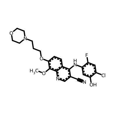 COc1c(OCCCN2CCOCC2)ccc2c(Nc3cc(O)c(Cl)cc3F)c(C#N)cnc12